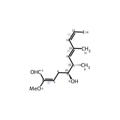 CO/C(C=O)=C/C[C@H](O)[C@@H](C)/C=C(C)/C=C\I